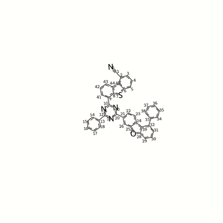 N#Cc1cccc2sc3c(-c4nc(-c5ccccc5)nc(-c5ccc6c(c5)oc5cccc(-c7ccccc7)c56)n4)cccc3c12